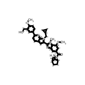 COc1ccc(-c2ccc3cc(-c4nc5cc(C(=O)N6CC7CCC6C7N)cc(OC)c5n4C)n(CC4CC4)c3n2)cc1CO